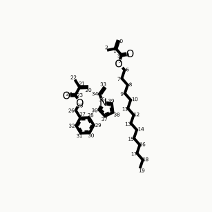 C=C(C)C(=O)OCCCCCCCCCCCCCC.C=C(C)C(=O)OCc1ccccc1.C=Cn1cccc1